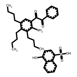 CCCCc1cc(C(=O)C(=O)c2ccccc2)c(N)c(CCCC)c1CCCC.O=S(=O)(O)c1ccc(O)c2ccccc12